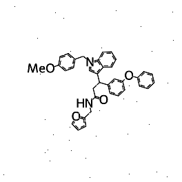 COc1ccc(Cn2cc(C(CC(=O)NCc3ccco3)c3cccc(Oc4ccccc4)c3)c3ccccc32)cc1